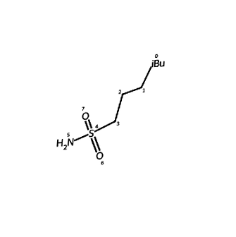 CCC(C)CCCS(N)(=O)=O